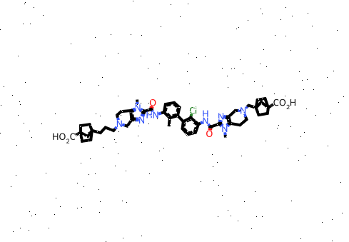 Cc1c(NC(=O)c2nc3c(n2C)CCN(CCCC24CCC(C(=O)O)(CC2)C4)C3)cccc1-c1cccc(NC(=O)c2nc3c(n2C)CCN(CC24CCC(C(=O)O)(CC2)C4)C3)c1Cl